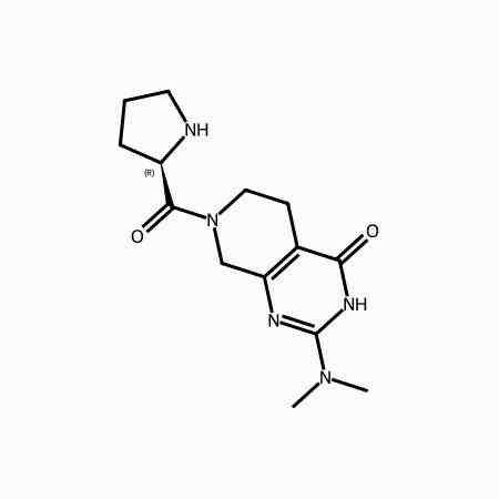 CN(C)c1nc2c(c(=O)[nH]1)CCN(C(=O)[C@H]1CCCN1)C2